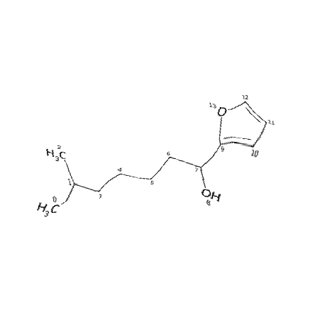 CC(C)CCCCC(O)c1ccco1